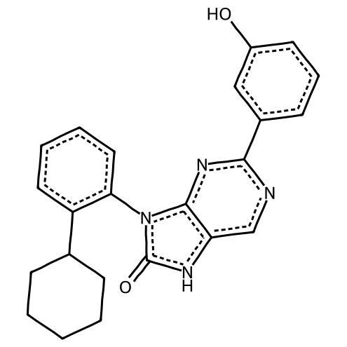 O=c1[nH]c2cnc(-c3cccc(O)c3)nc2n1-c1ccccc1C1CCCCC1